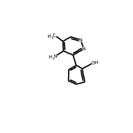 Cc1cnnc(-c2ccccc2O)c1N